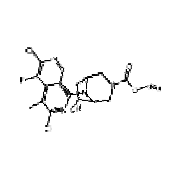 Cc1c(Cl)nc(N2C3CC(O)C2CN(C(=O)OC(C)(C)C)C3)c2cnc(Cl)c(F)c12